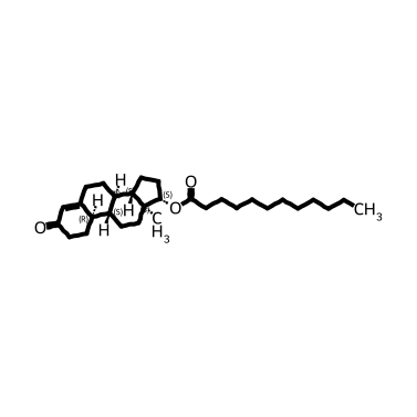 CCCCCCCCCCCC(=O)O[C@H]1CC[C@H]2[C@@H]3CCC4=CC(=O)CC[C@@H]4[C@H]3CC[C@]12C